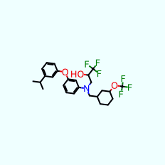 CC(C)c1cccc(Oc2cccc(N(CC3CCCC(OC(F)(F)F)C3)CC(O)C(F)(F)F)c2)c1